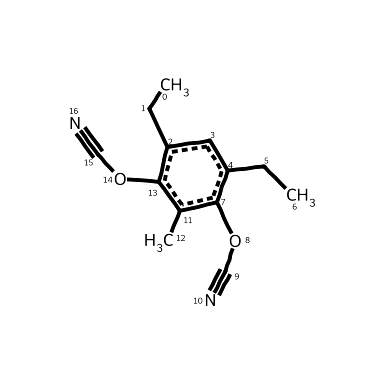 CCc1cc(CC)c(OC#N)c(C)c1OC#N